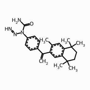 C=C(c1ccc(N(N=N)C(N)=O)cc1)c1cc2c(cc1C)C(C)(C)CCC2(C)C